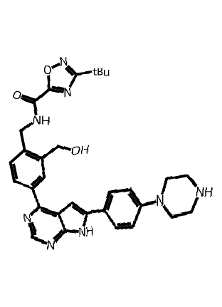 CC(C)(C)c1noc(C(=O)NCc2ccc(-c3ncnc4[nH]c(-c5ccc(N6CCNCC6)cc5)cc34)cc2CO)n1